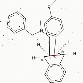 COc1ccc([C@H]2C[C@H]3c4ccccc4[C@@H]2C[C@@H]3CN(C)Cc2ccccc2)cc1